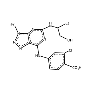 CCC(CO)Nc1nc(Nc2ccc(C(=O)O)c(Cl)c2)c2nnn(C(C)C)c2n1